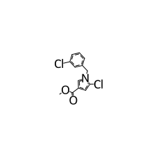 COC(=O)c1cc(Cl)n(Cc2cccc(Cl)c2)c1